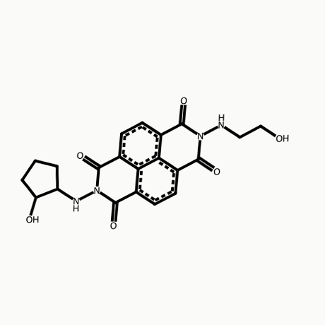 O=C1c2ccc3c4c(ccc(c24)C(=O)N1NCCO)C(=O)N(NC1CCCC1O)C3=O